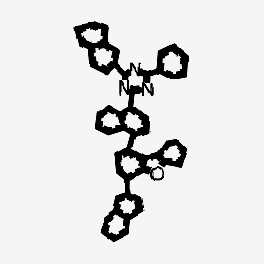 c1ccc(-c2nc(-c3ccc4ccccc4c3)nc(-c3ccc(-c4ccc(-c5ccc6ccccc6c5)c5oc6ccccc6c45)c4ccccc34)n2)cc1